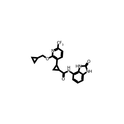 O=C(Nc1cccc2[nH]c(=O)[nH]c12)C1CC1c1ccc(C(F)(F)F)nc1OCC1CC1